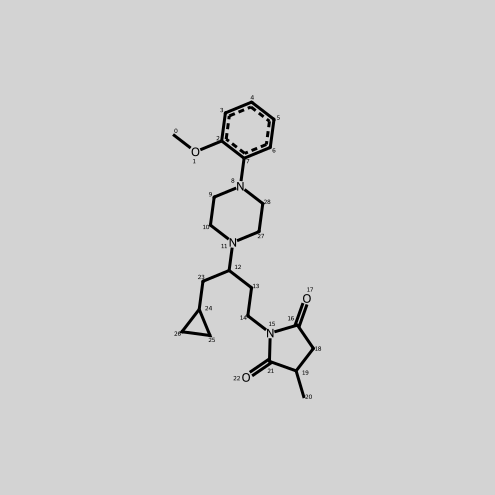 COc1ccccc1N1CCN(C(CCN2C(=O)CC(C)C2=O)CC2CC2)CC1